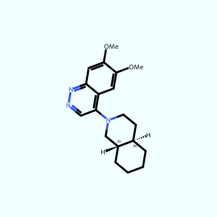 COc1cc2nncc(N3CC[C@H]4CCCC[C@@H]4C3)c2cc1OC